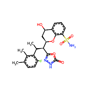 Cc1ccc(F)c(C(C)[C@H](c2n[nH]c(=O)o2)[C@H]2CC(O)c3cccc(S(N)(=O)=O)c3O2)c1C